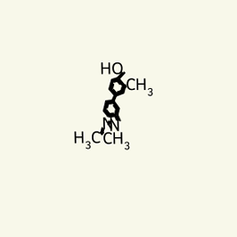 Cc1cc(-c2ccc3c(cnn3CC(C)C)c2)ccc1CO